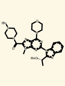 CO[C@@H](C)c1nc2ccccc2n1-c1nc(N2CCOCC2)c2nc(C(=O)N3CCN(C(C)(C)C)CC3)n(C)c2n1